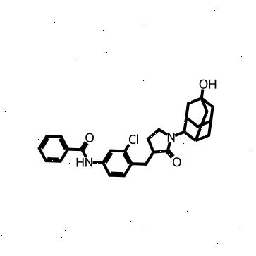 O=C(Nc1ccc(CC2CCN(C3C4CC5CC3CC(O)(C5)C4)C2=O)c(Cl)c1)c1ccccc1